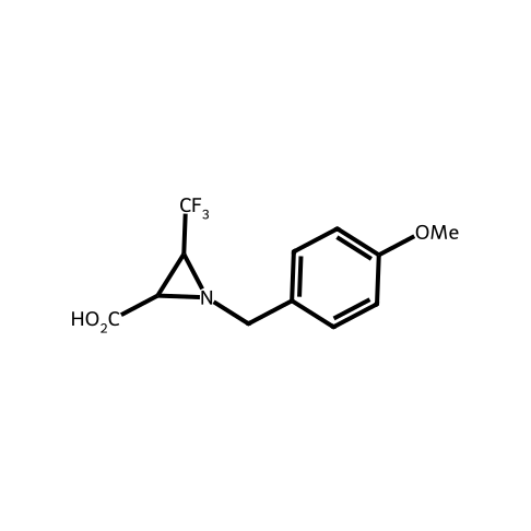 COc1ccc(CN2C(C(=O)O)C2C(F)(F)F)cc1